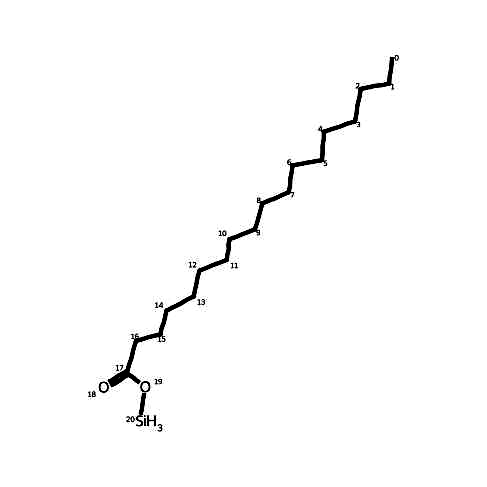 CCCCCCCCCCCCCCCCCC(=O)O[SiH3]